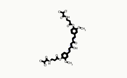 COc1cc(/C=C/C(=O)/C=C(O)/C=C/c2ccc(OC(=O)CCNC(=O)C(Cl)Cl)c(OC)c2)ccc1OC(=O)CCNC(=O)C(Cl)Cl